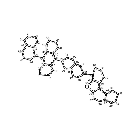 c1ccc2c(-c3c4ccccc4c(-c4ccc5cc(-c6cccc7c6oc6ccc8ccccc8c67)ccc5c4)c4ccccc34)cccc2c1